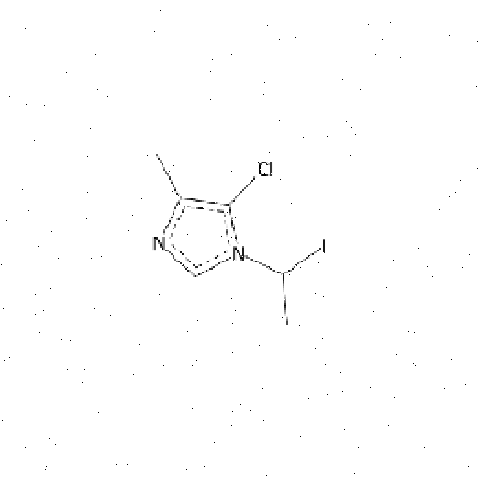 Cc1ncn(C(C)I)c1Cl